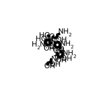 NCC[C@H](O)C(=O)N[C@@H]1C[C@H](N)C(O[C@H]2O[C@H](CNCC(O)CO)[C@@H](O)[C@H](O)[C@H]2N)[C@H](O)[C@H]1O[C@H]1O[C@H](CO)[C@@H](O)[C@H](N)[C@H]1O